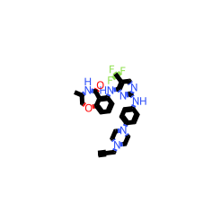 C#CCN1CCN(c2ccc(Nc3ncc(C(F)(F)F)c(Nc4cccc5c4C(=O)NC(C)CO5)n3)cc2)CC1